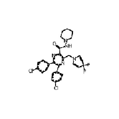 O=C(NN1CCCCC1)c1nc(-c2ccc(Cl)cc2)c(-c2ccc(Cl)cc2)nc1CN1C=CC(F)(F)C=C1